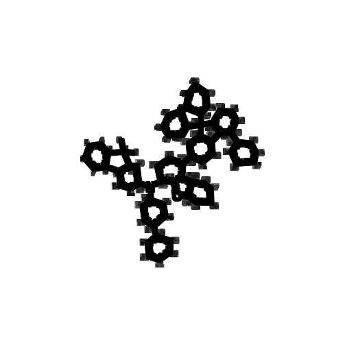 CC1(C)c2ccccc2-c2ccc(N(c3ccc(-c4ccccc4)cc3)c3ccc(-c4ccc5c(c4)C(c4ccccc4)(c4ccccc4)c4cccc(-c6ccccc6)c4-5)c4c3oc3ccccc34)cc21